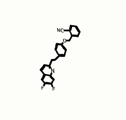 N#Cc1ccccc1COc1ccc(CCc2ccc3cc(F)c(F)cc3n2)cc1